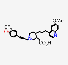 COc1ccc2nccc(CCCC3CCN(CC#Cc4ccc(OC(F)(F)F)cc4)CC3CC(=O)O)c2c1